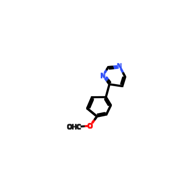 O=COc1ccc(-c2ccncn2)cc1